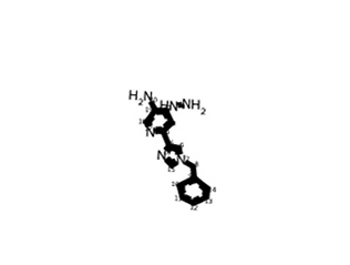 NNc1cc(-c2cn(Cc3ccccc3)cn2)ncc1N